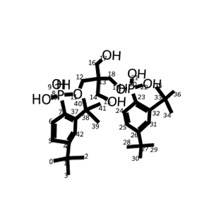 CC(C)(C)c1ccc([PH](O)(O)OCC(CO)(CO)CO[PH](O)(O)c2ccc(C(C)(C)C)cc2C(C)(C)C)c(C(C)(C)C)c1